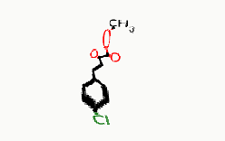 CCOC(=O)C(=O)C=Cc1ccc(Cl)cc1